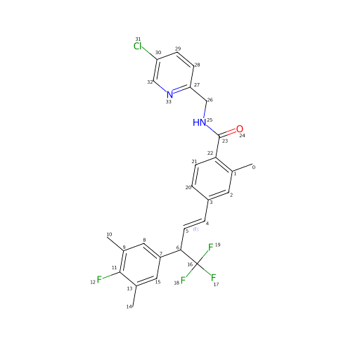 Cc1cc(/C=C/C(c2cc(C)c(F)c(C)c2)C(F)(F)F)ccc1C(=O)NCc1ccc(Cl)cn1